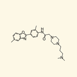 Cc1ccc2oc(-c3ccc(NC(=O)CN4CCN(CCCN(C)C)CC4)c(C)c3)nc2c1